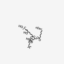 CCCCCCCCCCCCCCCC(=O)OCC(COP(=O)(O)OCC[N+](C)(C)C)OC(=O)CCCC(O)C=CC(=O)O